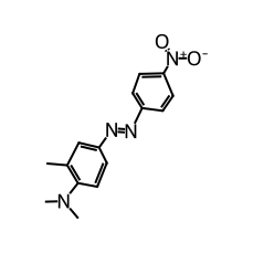 Cc1cc(/N=N/c2ccc([N+](=O)[O-])cc2)ccc1N(C)C